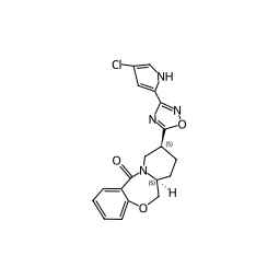 O=C1c2ccccc2OC[C@@H]2CC[C@H](c3nc(-c4cc(Cl)c[nH]4)no3)CN12